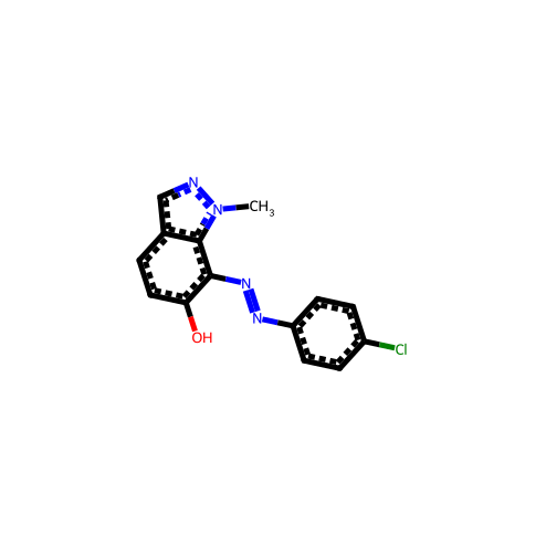 Cn1ncc2ccc(O)c(N=Nc3ccc(Cl)cc3)c21